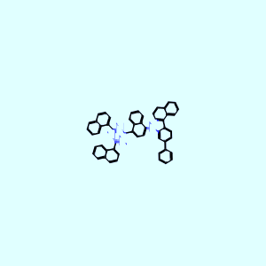 c1ccc(-c2ccc3c4c5ccccc5ccc4n(-c4ccc(-c5nc(-c6cccc7ccccc67)nc(-c6cccc7ccccc67)n5)c5ccccc45)c3c2)cc1